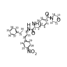 N[C@@H](Cc1ccc(C(=O)N2CCOCC2)cc1)C(=O)N[C@H](C=Cc1ccc([N+](=O)[O-])cc1)CCc1ccccc1